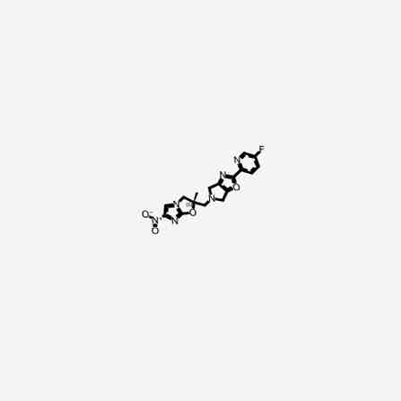 C[C@]1(CN2Cc3nc(-c4ccc(F)cn4)oc3C2)Cn2cc([N+](=O)[O-])nc2O1